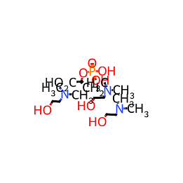 C=C(OP(=O)(O)O)C(=O)O.CN(C)CCO.CN(C)CCO.CN(C)CCO